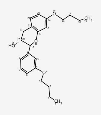 CCCCOc1cccc(C2Oc3cc(OCCCC)ccc3C[C@H]2O)c1